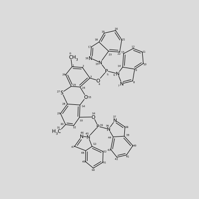 Cc1cc(OP(n2ncc3ccccc32)n2ncc3ccccc32)c2c(c1)Sc1cc(C)cc(OP(n3ncc4ccccc43)n3ncc4ccccc43)c1O2